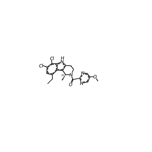 CCc1cc(Cl)c(Cl)c2[nH]c3c(c12)[C@H](C)N(C(=O)c1ncc(OC)cn1)CC3